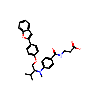 CC(C)C(COc1ccc(-c2cc3ccccc3o2)cc1)N(C)c1ccc(C(=O)NCCC(=O)O)cc1